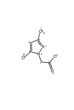 O=C(Cl)Cn1nc(C(F)(F)F)cc1Cl